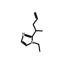 C=CCC(C)c1nccn1CC